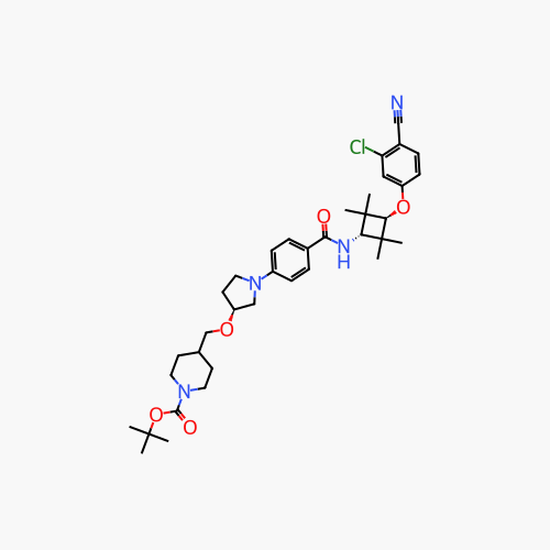 CC(C)(C)OC(=O)N1CCC(CO[C@H]2CCN(c3ccc(C(=O)N[C@H]4C(C)(C)[C@H](Oc5ccc(C#N)c(Cl)c5)C4(C)C)cc3)C2)CC1